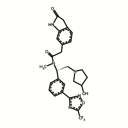 CN(C(=O)Cc1ccc2c(c1)NC(=O)C2)[C@H](CN1CCC(O)C1)c1cccc(-c2noc(C(F)(F)F)n2)c1